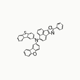 c1ccc(-c2nc3c(o2)-c2cccc4c(N(c5ccc6oc7ccccc7c6c5)c5ccc6sc7ccccc7c6c5)ccc-3c24)cc1